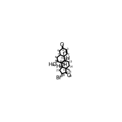 C[C@]12C=CC(=O)CC1C[C@@H](O)[C@@H]1[C@@H]2CC[C@]2(C)C(=O)[C@H](Br)C[C@@H]12